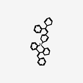 C1=CCC(/C(=C/C2=CCC(N3C4=C(CCC=C4)/C(=C\c4ccccc4)c4ccccc43)C=C2)c2ccccc2)C=C1